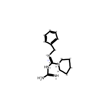 N=C(N)N/C(=N/Cc1ccccc1)N1CCCCC1